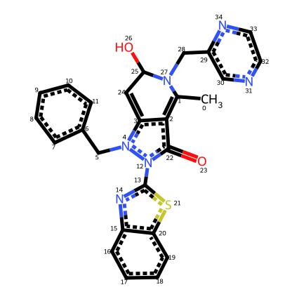 CC1=c2c(n(Cc3ccccc3)n(-c3nc4ccccc4s3)c2=O)=CC(O)N1Cc1cnccn1